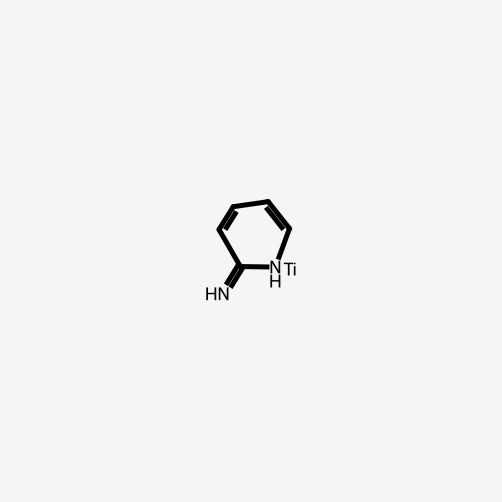 N=c1cccc[nH]1.[Ti]